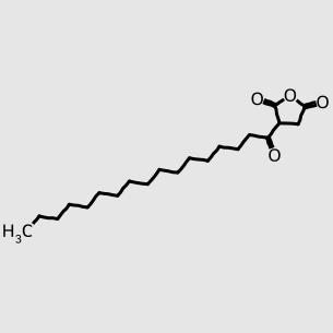 CCCCCCCCCCCCCCCCC(=O)C1CC(=O)OC1=O